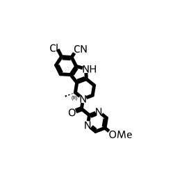 COc1cnc(C(=O)N2CCc3[nH]c4c(C#N)c(Cl)ccc4c3[C@H]2C)nc1